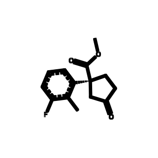 COC(=O)[C@@]1(c2cccc(F)c2C)CCC(=O)C1